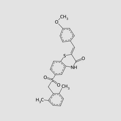 COc1ccc(C=C2Sc3ccc(S(=O)(=O)Cc4c(C)cccc4C)cc3NC2=O)cc1